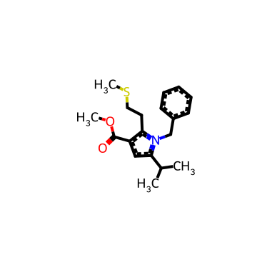 COC(=O)c1cc(C(C)C)n(Cc2ccccc2)c1CCSC